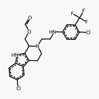 O=COCC1c2[nH]c3ccc(Cl)cc3c2CCN1CCNc1ccc(Cl)c(C(F)(F)F)c1